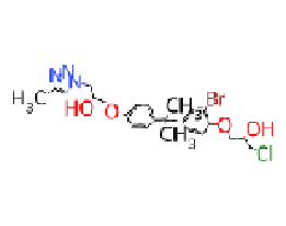 Cc1cn(C[C@@H](O)COc2ccc(C(C)(C)c3ccc(OC[C@H](O)CCl)c(Br)c3)cc2)nn1